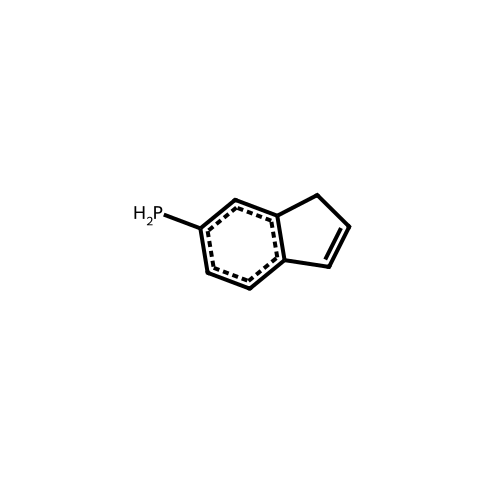 Pc1ccc2c(c1)CC=C2